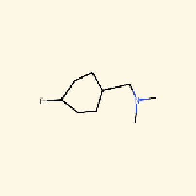 CCC1CCC(CN(C)C)CC1